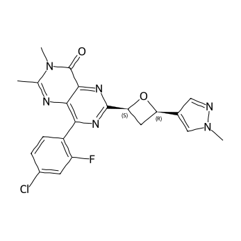 Cc1nc2c(-c3ccc(Cl)cc3F)nc([C@@H]3C[C@H](c4cnn(C)c4)O3)nc2c(=O)n1C